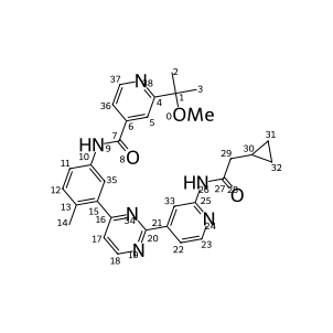 COC(C)(C)c1cc(C(=O)Nc2ccc(C)c(-c3ccnc(-c4ccnc(NC(=O)CC5CC5)c4)n3)c2)ccn1